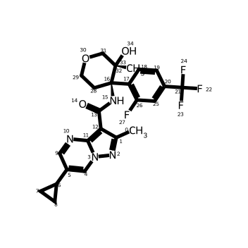 Cc1nn2cc(C3CC3)cnc2c1C(=O)N[C@@]1(c2ccc(C(F)(F)F)cc2F)CCOC[C@]1(C)O